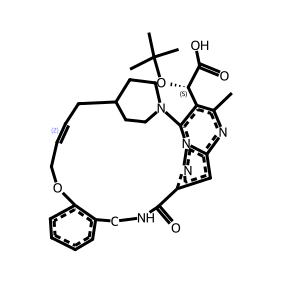 Cc1nc2cc3nn2c(c1[C@H](OC(C)(C)C)C(=O)O)N1CCC(C/C=C\COc2ccccc2CNC3=O)CC1